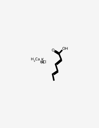 C/C=C/C=C/C(=O)O.Cl.[CaH2].[KH]